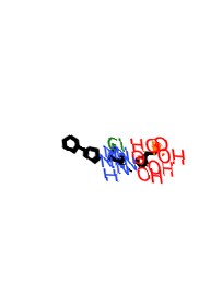 O=P(O)(O)CCC1OC(n2cnc3c(Nc4ccc(C5CCCCC5)cc4)nc(Cl)nc32)C(O)C1O